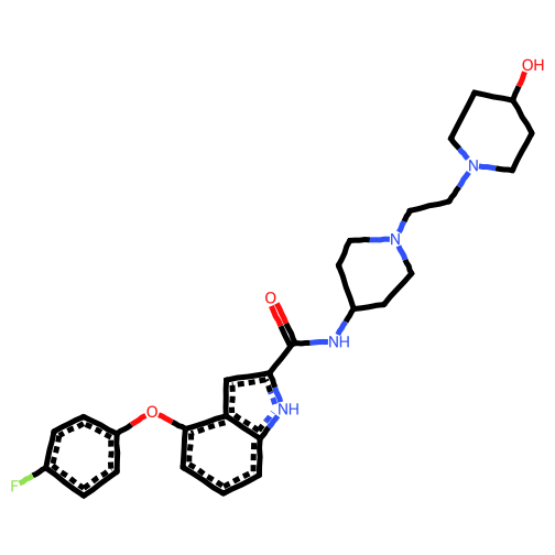 O=C(NC1CCN(CCN2CCC(O)CC2)CC1)c1cc2c(Oc3ccc(F)cc3)cccc2[nH]1